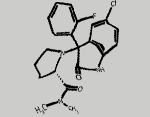 CN(C)C(=O)[C@@H]1CCCN1C1(c2ccccc2F)C(=O)Nc2ccc(Cl)cc21